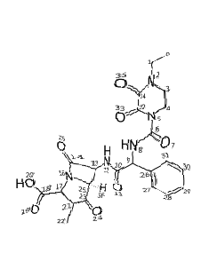 CCN1CCN(C(=O)NC(C(=O)NC2C(=O)N3C(C(=O)O)C(C)C(=O)[C@H]23)c2ccccc2)C(=O)C1=O